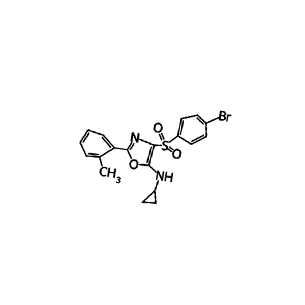 Cc1ccccc1-c1nc(S(=O)(=O)c2ccc(Br)cc2)c(NC2CC2)o1